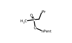 CCCCCOP(C)(=O)CC(C)C